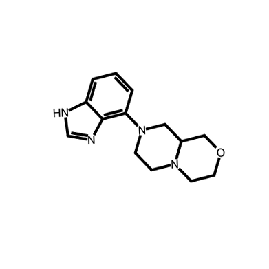 c1cc(N2CCN3CCOCC3C2)c2nc[nH]c2c1